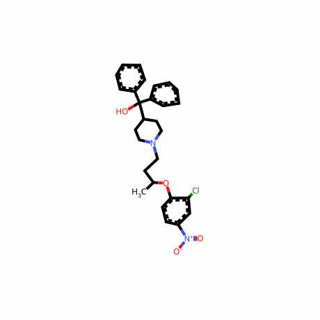 CC(CCN1CCC(C(O)(c2ccccc2)c2ccccc2)CC1)Oc1ccc([N+](=O)[O-])cc1Cl